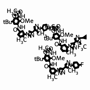 COc1c(NC(=O)c2ccc(C)c(-n3cc(-c4cnc(C5CC5)n4CC(F)(F)F)nn3)c2)cc(C(C)(C)C)cc1NS(C)(=O)=O.COc1c(NC(=O)c2ccc(C)c(-n3cc(-c4cnn(-c5ccc(F)cc5)c4C)nn3)c2)cc(C(C)(C)C)cc1NS(C)(=O)=O.COc1c(NC(=O)c2ccc(C)c(-n3cc(-c4cnn(C5CCN(C(C)(C)C)CC5)c4C)nn3)c2)cc(C(C)(C)C)cc1NS(C)(=O)=O